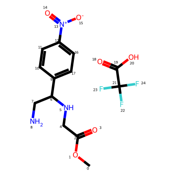 COC(=O)CNC(CN)c1ccc([N+](=O)[O-])cc1.O=C(O)C(F)(F)F